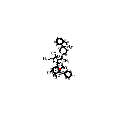 CCC(=O)N(C)C[C@](CCN1CCC2(CC1)c1ccccc1C[S+]2[O-])(c1ccc(Cl)c(Cl)c1)N(C)C(=O)C(=O)N(C)c1ccccc1